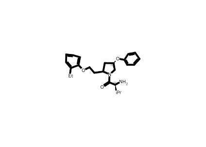 CCc1ccccc1OCCC1C[C@H](Oc2ccccc2)CN1C(=O)[C@@H](N)C(C)C